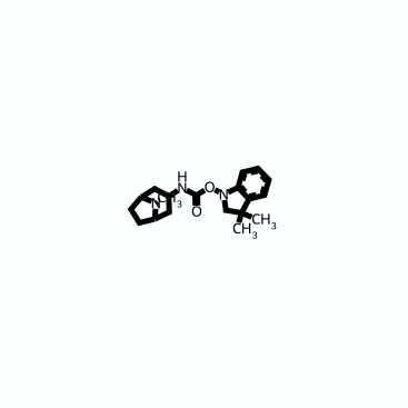 CN1C2CCC1CC(NC(=O)ON1CC(C)(C)c3ccccc31)C2